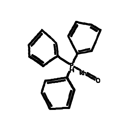 [O]=[Rh][PH](c1ccccc1)(c1ccccc1)c1ccccc1